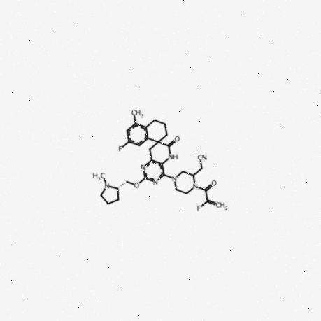 C=C(F)C(=O)N1CCN(c2nc(OC[C@@H]3CCCN3C)nc3c2NC(=O)C2(CCCc4c(C)cc(F)cc42)C3)CC1CC#N